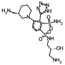 NC[C@@H](O)CNS(=O)(=O)c1ccc(N2CCC[C@H](CN)C2)c(-c2nnn[nH]2)c1S(N)(=O)=O